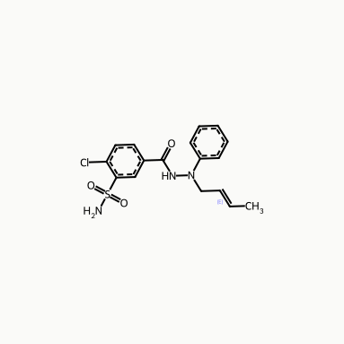 C/C=C/CN(NC(=O)c1ccc(Cl)c(S(N)(=O)=O)c1)c1ccccc1